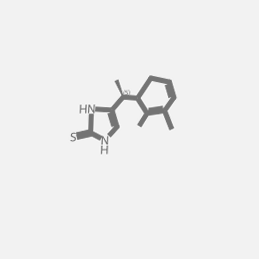 CC1=C(C)C([C@H](C)c2c[nH]c(=S)[nH]2)CC=C1